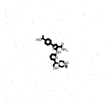 CC(O)c1ccc(-c2cc(C(N)=O)c(Nc3cccc(C(CO)N4CCS(=O)(=O)CC4)n3)s2)cc1